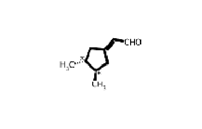 C[C@@H]1CC(=CC=O)C[C@H]1C